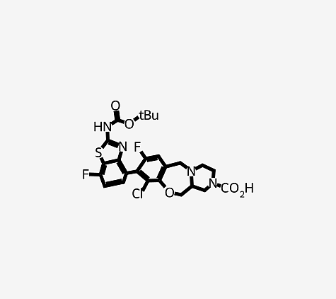 CC(C)(C)OC(=O)Nc1nc2c(-c3c(F)cc4c(c3Cl)OCC3CN(C(=O)O)CCN3C4)ccc(F)c2s1